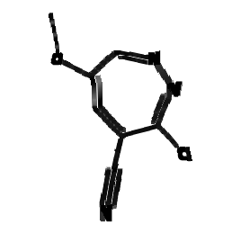 COC1=C=C(C#N)C(Cl)=NN=C1